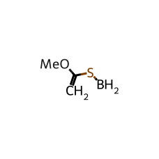 BSC(=C)OC